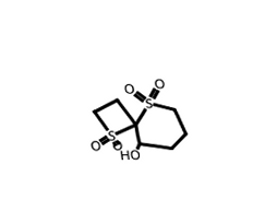 O=S1(=O)CCCC(O)C12CCS2(=O)=O